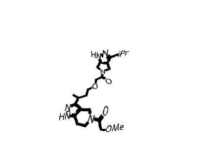 COCC(=O)N1CCc2[nH]nc(C(C)CCOCC(=O)N3Cc4[nH]nc(C(C)C)c4C3)c2C1